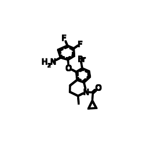 CC1CCc2c(ccc(Br)c2Oc2cc(F)c(F)cc2N)N1C(=O)C1CC1